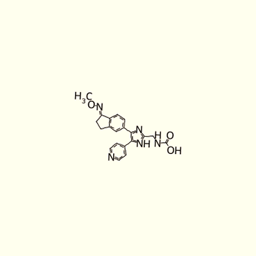 CON=C1CCc2cc(-c3nc(CNC(=O)O)[nH]c3-c3ccncc3)ccc21